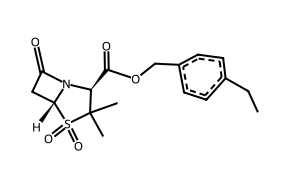 CCc1ccc(COC(=O)[C@@H]2N3C(=O)C[C@H]3S(=O)(=O)C2(C)C)cc1